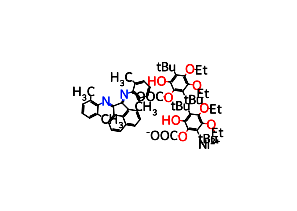 CCOc1c(OCC)c(C(C)(C)C)c(OC(=O)[O-])c(O)c1C(C)(C)C.CCOc1c(OCC)c(C(C)(C)C)c(OC(=O)[O-])c(O)c1C(C)(C)C.Cc1cccc(C)c1N=C1C(=Nc2c(C)cccc2C)c2cccc3cccc1c23.[Ni+2]